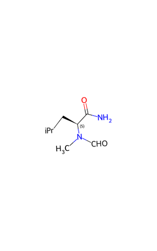 CC(C)C[C@@H](C(N)=O)N(C)C=O